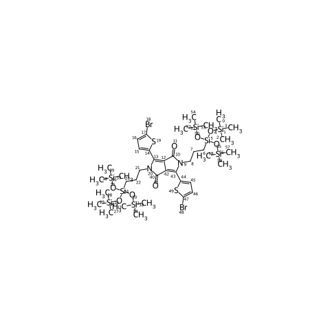 C[Si](C)(C)O[Si](CCCN1C(=O)C2=C(c3ccc(Br)s3)N(CCC[Si](O[Si](C)(C)C)(O[Si](C)(C)C)O[Si](C)(C)C)C(=O)C2=C1c1ccc(Br)s1)(O[Si](C)(C)C)O[Si](C)(C)C